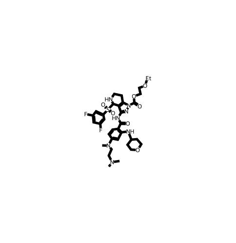 CCOCCOC(=O)n1nc(NC(=O)c2ccc(N(C)CCN(C)C)cc2NC2CCOCC2)c2c1CCNC2S(=O)(=O)c1cc(F)cc(F)c1